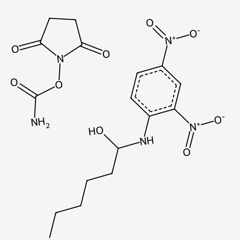 CCCCCC(O)Nc1ccc([N+](=O)[O-])cc1[N+](=O)[O-].NC(=O)ON1C(=O)CCC1=O